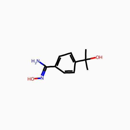 CC(C)(O)c1ccc(/C(N)=N/O)cc1